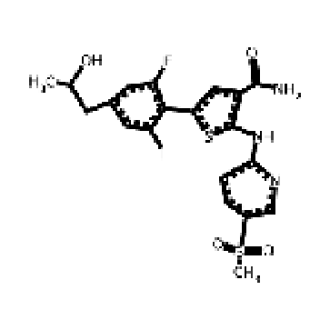 CC(O)Cc1cc(F)c(-c2cc(C(N)=O)c(Nc3ccc(S(C)(=O)=O)cn3)s2)c(F)c1